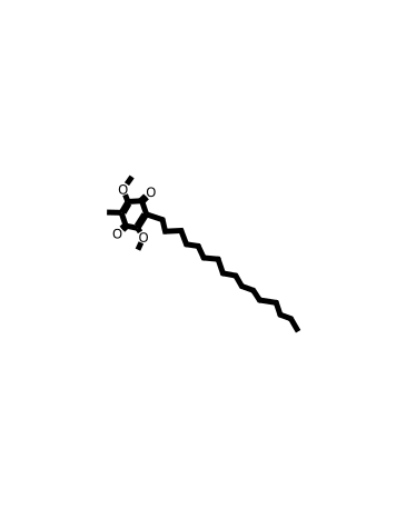 CCCCCCCCCCCCCCCCC1=C(OC)C(=O)C(C)=C(OC)C1=O